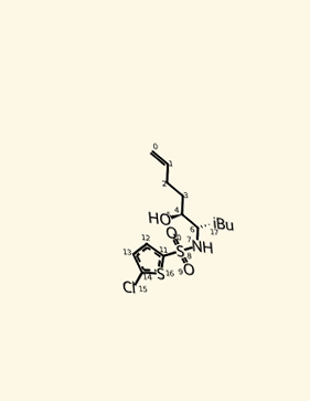 C=CCC[C@H](O)C(NS(=O)(=O)c1ccc(Cl)s1)[C@@H](C)CC